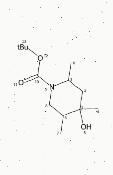 CC1CC(C)(O)C(C)CN1C(=O)OC(C)(C)C